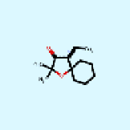 C/C=C1/C(=O)C(C)(C)OC12CCCCC2